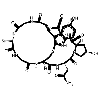 CC[C@H](C)[C@@H]1NC(=O)CNC(=O)/C2=C/c3c([nH]c4ccc(O)cc34)SC[C@H](NC(=O)CNC1=O)C(=O)N[C@@H](CC(N)=O)C(=O)N1C[C@H](O)C[C@H]1C(=O)N[C@@H]([C@@H](C)CC)C(=O)N2